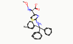 CO/N=C(\C(=O)[O-])c1csc(NC(c2ccccc2)(c2ccccc2)c2ccccc2)n1.[Na+]